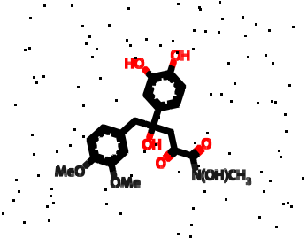 COc1ccc(CC(O)(CC(=O)C(=O)N(C)O)c2ccc(O)c(O)c2)cc1OC